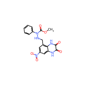 COC(=O)N(NCc1cc([N+](=O)[O-])cc2[nH]c(=O)c(=O)[nH]c12)c1ccccc1